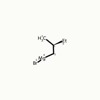 CC[C@H](C)[CH2][Mg][Br]